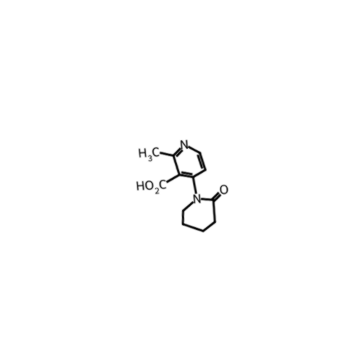 Cc1nccc(N2CCCCC2=O)c1C(=O)O